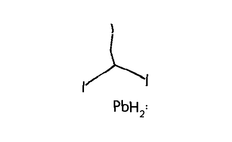 IC(I)I.[PbH2]